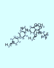 COc1cc(-n2cnc3cc(C4=CCN(C)CC4)ccc32)cc(OC)c1C(=O)NCC(F)(F)F